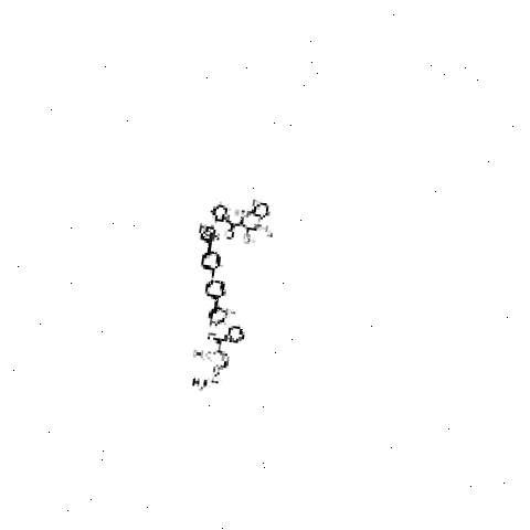 COO/C=N\[C@@H](C)C(=O)N1CCC[C@H]1c1ncc(-c2ccc(-c3ccc(-c4cnc([C@@H]5CCCN5C(=O)[C@@H](NC5=NCCN5)C(C)C)[nH]4)cc3)cc2)[nH]1